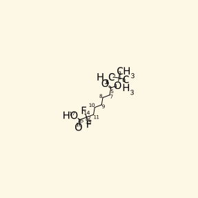 CC(C)(C)OC(=O)CCCCCC(F)(F)C(=O)O